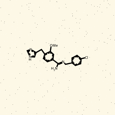 COc1cc(C(N)=NCc2ccc(Cl)cc2)ccc1Cc1c[nH]cn1